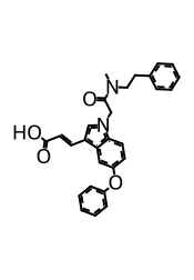 CN(CCc1ccccc1)C(=O)Cn1cc(C=CC(=O)O)c2cc(Oc3ccccc3)ccc21